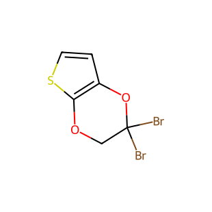 BrC1(Br)COc2sccc2O1